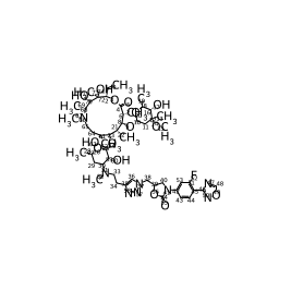 CC[C@H]1OC(=O)[C@H](C)[C@@H](O[C@H]2C[C@@](C)(OC)[C@@H](O)[C@H](C)O2)[C@H](C)[C@@H](O[C@@H]2O[C@H](C)C[C@H](N(C)CCc3cn(C[C@H]4CN(c5ccc(-c6ncon6)c(F)c5)C(=O)O4)nn3)[C@H]2O)[C@](C)(O)CCN(C)[C@H](C)[C@@H](O)[C@]1(C)O